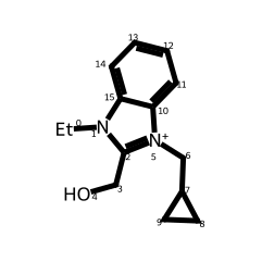 CCn1c(CO)[n+](CC2CC2)c2ccccc21